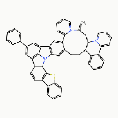 C=C1CC2C(CCc3cc4c(cc3-c3cccc[n+]31)c1cc(-c3ccccc3)cc3c5ccc6c7ccccc7sc6c5n4c13)c1ccccc1-c1cccc[n+]12